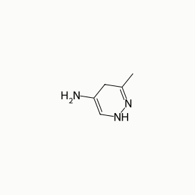 CC1=NNC=C(N)C1